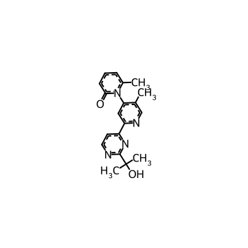 Cc1cnc(-c2ccnc(C(C)(C)O)n2)cc1-n1c(C)cccc1=O